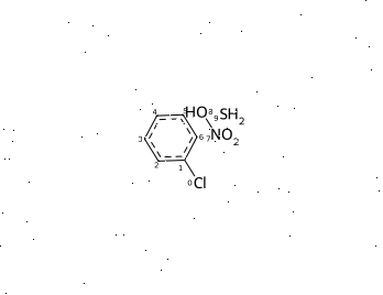 Clc1ccccc1.O=[N+]([O-])O.S